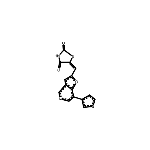 O=C1NC(=O)/C(=C\c2cc3cncc(-c4ccsc4)c3o2)S1